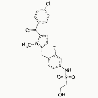 Cn1c(Cc2ccc(NS(=O)(=O)CCO)cc2F)ccc1C(=O)c1ccc(Cl)cc1